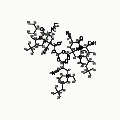 [C-]#[N+][C-](CC(C#N)(C(=O)OC(OC(=O)C(C#N)C[N+](CC)(CC)CC(C)CC(C)(C)C)OC(=O)C(CC(C#N)C(=O)O[CH]([CaH])CC)(C[N+](CC)(CC)CC(C)CC(C)(C)C)[N+]#[C-])[N+](CC)(CC)CC(C)CC(C)(C)C)C(=O)OC(CC)CC